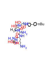 CCCCc1ccc(-c2ccc(C(=O)N[C@@H](CO)C(=O)N[C@H](C(=O)N[C@@H](N)C(=O)N[C@@H](CCCCN)C(=O)N[C@@H](N)B(O)O)[C@@H](C)O)cc2)cc1